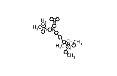 C=Cc1c(/C=C\C)n(-c2ccc3c(c2)c2cc(-n4c5ccccc5c5ccccc54)ccc2n3-c2ccc(-c3ccc(-c4cc(C)c(-c5cc(-c6cccc(C)c6)nc(-c6cccc(C)c6)n5)c(C)c4)cc3)cc2)c2ccccc12